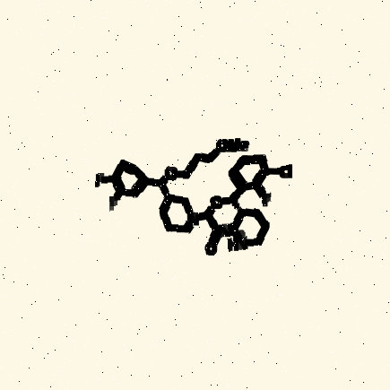 COCCCOC(c1ccc(F)c(F)c1)[C@@H]1CCCN(C(OC(c2cccc(Cl)c2F)[C@@H]2CCCNC2)C(N)=O)C1